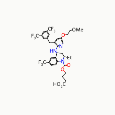 CC[C@@H]1C[C@H](Nc2ncc(OCCOC)cc2Cc2cc(C(F)(F)F)cc(C(F)(F)F)c2)c2cc(C(F)(F)F)ccc2N1C(=O)OCCCC(=O)O